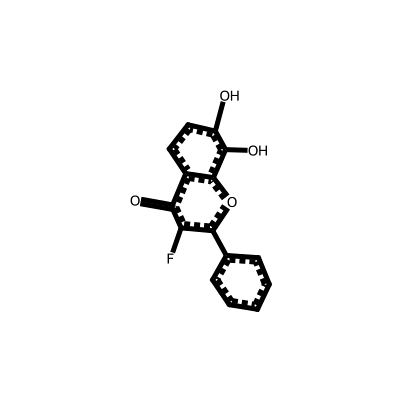 O=c1c(F)c(-c2ccccc2)oc2c(O)c(O)ccc12